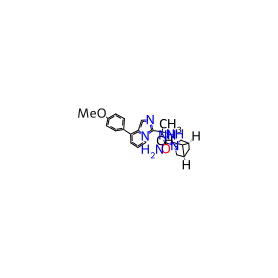 COc1ccc(-c2cccn3c(C(C)(C)NC(=O)C4[C@@H]5C[C@H]4CN(C(=N)N)C5)ncc23)cc1